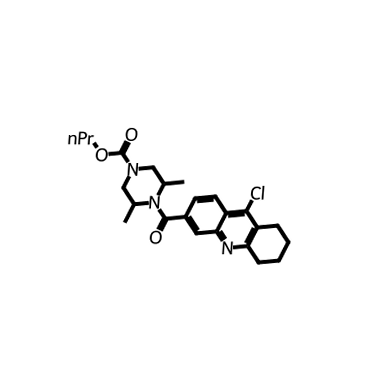 CCCOC(=O)N1CC(C)N(C(=O)c2ccc3c(Cl)c4c(nc3c2)CCCC4)C(C)C1